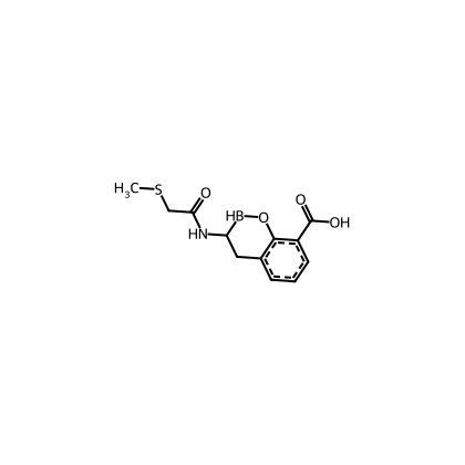 CSCC(=O)NC1BOc2c(cccc2C(=O)O)C1